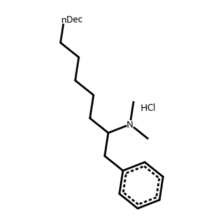 CCCCCCCCCCCCCCCC(Cc1ccccc1)N(C)C.Cl